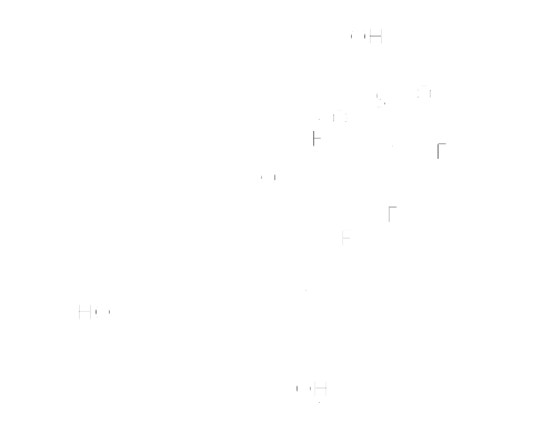 O=S(=O)(O)C(F)(F)C(F)(F)Oc1cc(O)cc(O)c1